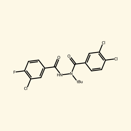 CC(C)(C)N(NC(=O)c1ccc(F)c(Cl)c1)C(=O)c1ccc(Cl)c(Cl)c1